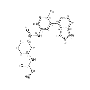 CC(C)(C)OC(=O)N[C@@H]1CCC[C@H](C(=O)Nc2cc(-c3cccc4[nH]ncc34)c(F)cn2)C1